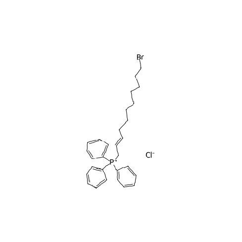 BrCCCCCCCCC=CC[P+](c1ccccc1)(c1ccccc1)c1ccccc1.[Cl-]